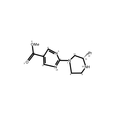 COC(=O)c1cnc(N2CCN[C@@H](C(C)C)C2)nc1